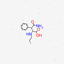 CCCNC(C(=O)O)C(C(N)=O)c1ccccc1